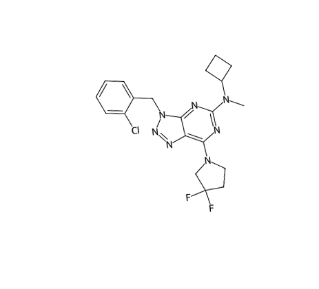 CN(c1nc(N2CCC(F)(F)C2)c2nnn(Cc3ccccc3Cl)c2n1)C1CCC1